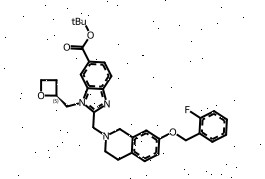 CC(C)(C)OC(=O)c1ccc2nc(CN3CCc4ccc(OCc5ccccc5F)cc4C3)n(C[C@@H]3CCO3)c2c1